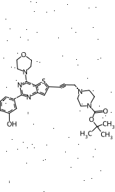 CC(C)(C)OC(=O)N1CCN(CC#Cc2cc3nc(-c4cccc(O)c4)nc(N4CCOCC4)c3s2)CC1